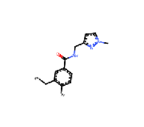 CC(C)Cc1cc(C(=O)NCc2ccn(C)n2)ccc1C(C)C